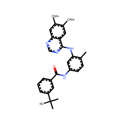 COc1cc2ncnc(Nc3cc(NC(=O)c4cccc(C(C)(C)C#N)c4)ccc3C)c2cc1OC